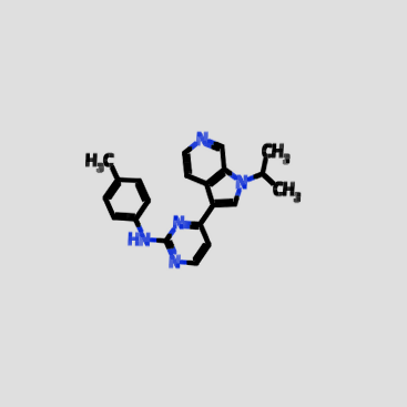 Cc1ccc(Nc2nccc(-c3cn(C(C)C)c4cnccc34)n2)cc1